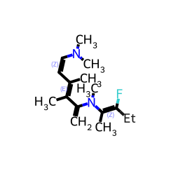 C=C(/C(C)=C(C)/C=C\N(C)C)N(C)/C(C)=C(\F)CC